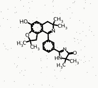 CC1(C)Cc2cc(O)c3c(c2C(c2cccc(C4=NC(=O)C(C)(C)N4)c2)=N1)CC(C)(C)O3